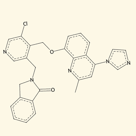 Cc1cc(-n2ccnc2)c2cccc(OCc3c(Cl)cncc3CN3Cc4ccccc4C3=O)c2n1